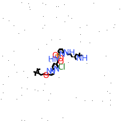 CC1(C)C[C@H](CCCNc2cccc(S(=O)(=O)NC(=O)c3ccc(-n4ccc(OCCC5C(C)(C)C5(C)C)n4)nc3Cl)n2)CN1